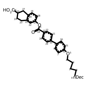 CCCCCCCCCCCCCCOc1ccc(-c2ccc(C(=O)Oc3ccc4c(c3)CCC(C(=O)O)C4)cc2)cc1